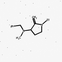 C=C1C(N(C)CC(C)C)CCN1CC